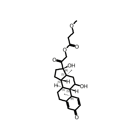 COCCC(=O)OCC(=O)[C@@]1(O)CC[C@H]2[C@@H]3CCC4=CC(=O)C=C[C@]4(C)[C@H]3C(O)C[C@@]21C